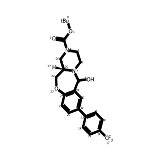 CC(C)(C)OC(=O)N1CCN2C(O)c3cc(-c4ccc(C(F)(F)F)cc4)ccc3OC[C@@H]2C1